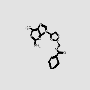 Cc1nc(N)nc2c1ncn2C1CO[C@@H](COC(=O)c2ccccc2)O1